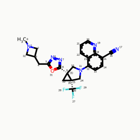 CN1CC(Cc2nnc([C@]34CN(c5ccc(C#N)c6ncccc56)C[C@@]3(C(F)(F)F)C4)o2)C1